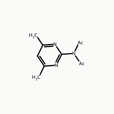 CC(=O)N(C(C)=O)c1nc(C)cc(C)n1